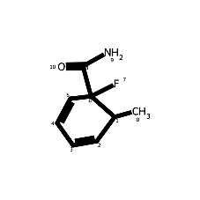 CC1C=CC=CC1(F)C(N)=O